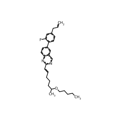 C=CCc1ccc(-c2ccc3nc(/C=C/CCCC(C)OCCCCC)ncc3c2)c(F)c1